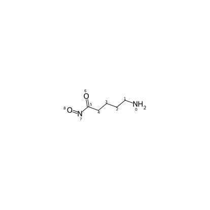 NCCCCC(=O)N=O